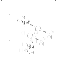 N=C(N)N.N=C(N)N.N=C(N)N.O=C(O)C#Cc1ccc(C#CC(=O)O)cc1.O=C(O)C#Cc1ccc(Cl)cc1Cl